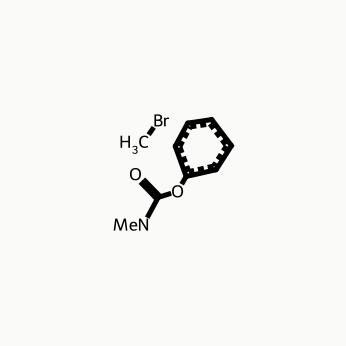 CBr.CNC(=O)Oc1ccccc1